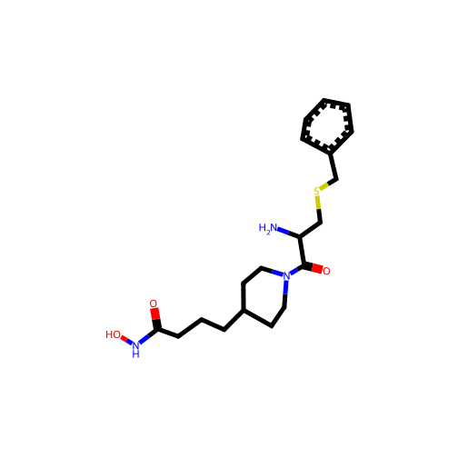 NC(CSCc1ccccc1)C(=O)N1CCC(CCCC(=O)NO)CC1